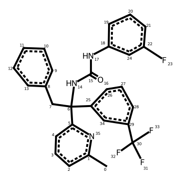 Cc1cccc(C(Cc2ccccc2)(NC(=O)Nc2cccc(F)c2)c2cccc(C(F)(F)F)c2)n1